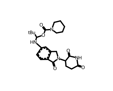 CC(C)(C)C(Nc1ccc2c(c1)CN(C1CCC(=O)NC1=O)C2=O)OC(=O)N1CCCCC1